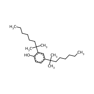 CCCCCCC(C)(C)c1ccc(O)c(C(C)(C)CCCCCC)c1